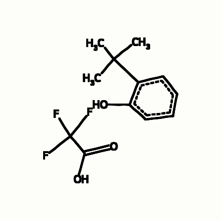 CC(C)(C)c1ccccc1O.O=C(O)C(F)(F)F